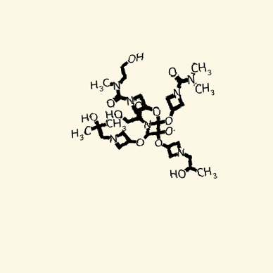 CC(O)CN1CC(OC2([O])C(OC3CN(CC(C)(C)O)C3)N(C(=O)CO)C2(OC2CN(C(=O)N(C)C)C2)OC2CN(C(=O)N(C)CCO)C2)C1